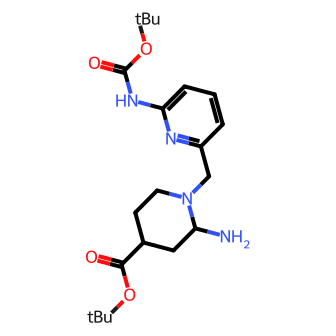 CC(C)(C)OC(=O)Nc1cccc(CN2CCC(C(=O)OC(C)(C)C)CC2N)n1